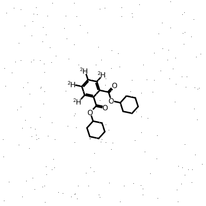 [2H]c1c([2H])c([2H])c(C(=O)OC2CCCCC2)c(C(=O)OC2CCCCC2)c1[2H]